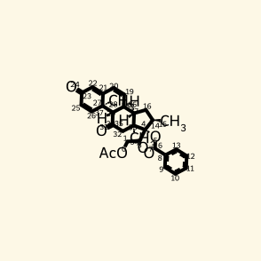 CC(=O)OCC(=O)[C@]1(OC(=O)c2ccccc2)[C@H](C)C[C@H]2[C@@H]3C=CC4=CC(=O)C=C[C@]4(C)[C@H]3C(=O)C[C@@]21C